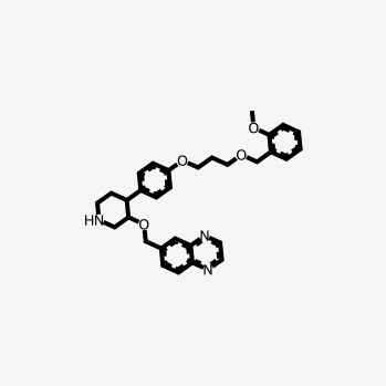 COc1ccccc1COCCCOc1ccc(C2CCNCC2OCc2ccc3nccnc3c2)cc1